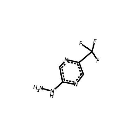 NNc1cnc(C(F)(F)F)cn1